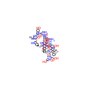 CCCC[C@@H](C(=O)N1C[C@H](O)C[C@@H]1C(=O)N[C@@H](CC(=O)O)C(=O)N[C@H](C(=O)N(C)C(Cc1ccccc1)C(=O)CN[C@@H](CC(=O)O)C(=O)N1CC[C@@H](O)C1)C(C)C)N(C)C(=O)[C@H](Cc1ccccc1)N(C)C(=O)[C@H](Cc1cc(F)c(F)c(F)c1)NC(=O)CSC[C@H](NC(=O)[C@H](CN)NC(=O)[C@H](Cc1ccc(O)cc1)NC(=O)[C@H](Cc1c[nH]c2ccccc12)NC)C(=O)NCC(N)=O